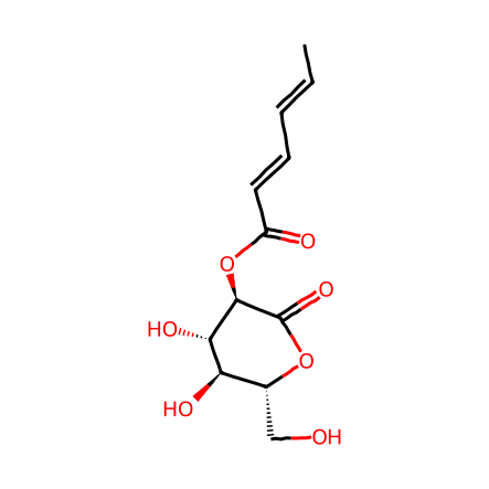 CC=CC=CC(=O)O[C@H]1C(=O)O[C@H](CO)[C@@H](O)[C@@H]1O